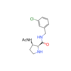 CC(=O)N[C@@H]1CCN[C@@H]1C(=O)NCc1cccc(Cl)c1